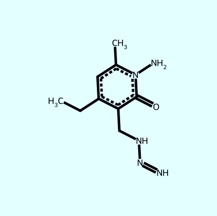 CCc1cc(C)n(N)c(=O)c1CNN=N